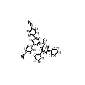 N#Cc1ccc(-c2cc(C(=O)c3nc(-c4ccccc4)nc(-c4ccccc4)n3)cc(-c3ccc(C#N)cc3)c2)cc1